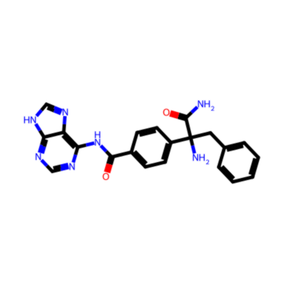 NC(=O)C(N)(Cc1ccccc1)c1ccc(C(=O)Nc2ncnc3[nH]cnc23)cc1